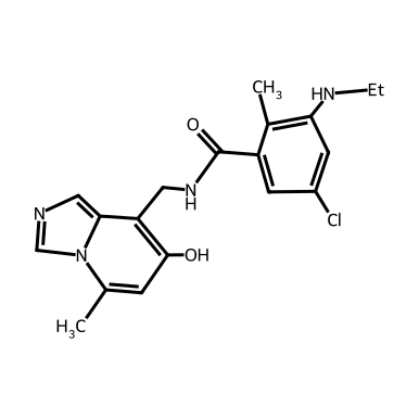 CCNc1cc(Cl)cc(C(=O)NCc2c(O)cc(C)n3cncc23)c1C